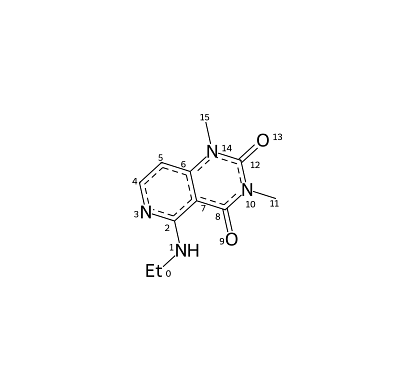 CCNc1nccc2c1c(=O)n(C)c(=O)n2C